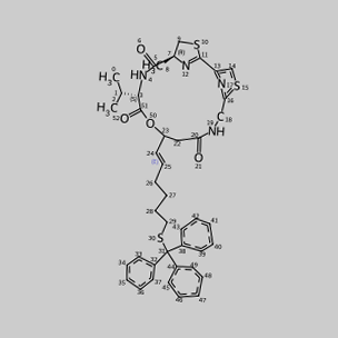 CC(C)[C@@H]1NC(=O)[C@]2(C)CSC(=N2)c2csc(n2)CNC(=O)CC(/C=C/CCCCSC(c2ccccc2)(c2ccccc2)c2ccccc2)OC1=O